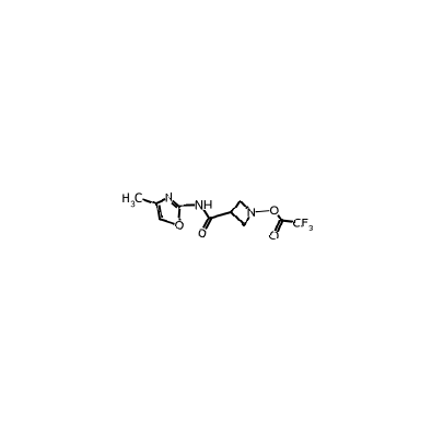 Cc1coc(NC(=O)C2CN(OC(=O)C(F)(F)F)C2)n1